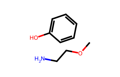 COCCN.Oc1ccccc1